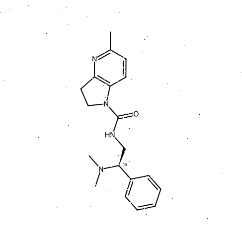 Cc1ccc2c(n1)CCN2C(=O)NC[C@@H](c1ccccc1)N(C)C